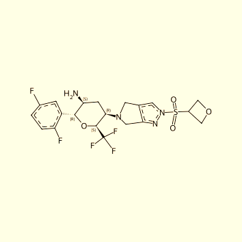 N[C@H]1C[C@@H](N2Cc3cn(S(=O)(=O)C4COC4)nc3C2)[C@@H](C(F)(F)F)O[C@@H]1c1cc(F)ccc1F